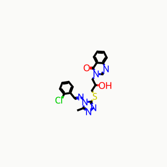 Cc1nnc(SCC(O)Cn2cnc3ccccc3c2=O)n1N=Cc1ccccc1Cl